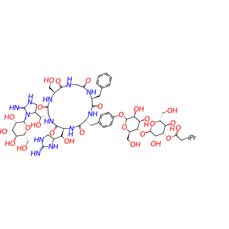 CC(C)CC(=O)O[C@@H]1[C@H](O)[C@@H](O[C@H]2[C@H](O)[C@H](O)C(Oc3ccc(C[C@H]4NC(=O)[C@H](Cc5ccccc5)NC(=O)CNC(=O)[C@H](CO)NC(=O)[C@@H](C(O)C5CNC(=N)N5[C@H]5O[C@H](CO)[C@@H](O)[C@H](O)[C@@H]5O)NC(=O)[C@H](C(O)C5CNC(=N)N5)NC4=O)cc3)O[C@@H]2CO)O[C@H](CO)[C@H]1O